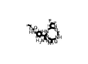 CCOC(=O)Nc1ccc(-c2c3nc4c(cnn4c2N)C(=O)NCCOc2ncc(F)cc2CN3)cc1